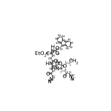 C=CCOC(=O)[C@H](CCC(=O)C=[N+]=[N-])NC(=O)[C@H](CCC(=O)C=[N+]=[N-])NC(=O)CC[C@H](NC(=O)OCC1c2ccccc2-c2ccccc21)C(=O)OCC